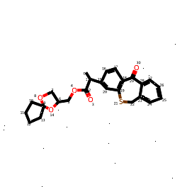 CC(C(=O)OCC1COC2(CCCC2)O1)c1ccc2c(c1)SCc1ccccc1C2=O